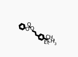 CCC(C)(C)c1ccc(CCCOC(=O)Oc2ccccc2)cc1